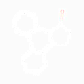 O=C1CCc2c1c1ccccc1c1ccccc21